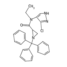 CCN(C(=O)C1CN1C(c1ccccc1)(c1ccccc1)c1ccccc1)c1c[nH]nc1Cl